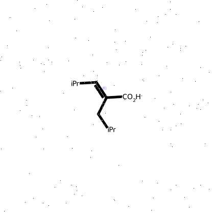 CC(C)/C=C(\CC(C)C)C(=O)O